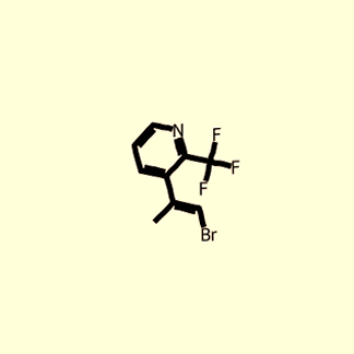 CC(=CBr)c1cccnc1C(F)(F)F